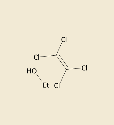 CCO.ClC(Cl)=C(Cl)Cl